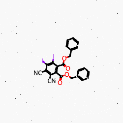 N#Cc1c(I)c(I)c(C(=O)OCc2ccccc2)c(C(=O)OCc2ccccc2)c1C#N